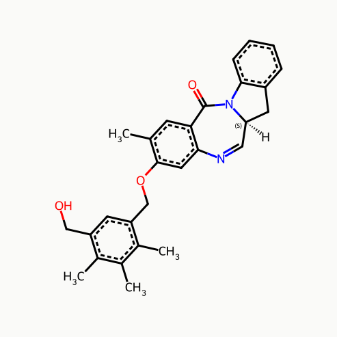 Cc1cc2c(cc1OCc1cc(CO)c(C)c(C)c1C)N=C[C@@H]1Cc3ccccc3N1C2=O